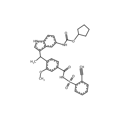 C#Cc1ccccc1S(=O)(=O)NC(=O)c1ccc(C(C)c2c[nH]c3ccc(NC(=O)OC4CCCC4)cc23)c(OC)c1